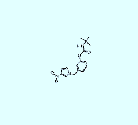 CC(C)(C)NC(=O)Oc1cccc(Cn2cc([N+](=O)[O-])cn2)c1